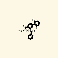 CC(C)(C)OC(=O)c1ccc(-c2c(F)cccc2F)cc1NC(=O)c1ccccc1